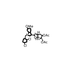 COc1ccc2c(C3=N[C@@H]4[CH][C@H](OC(C)=O)[C@@H](COC(C)=O)O[C@@H]4O3)cn(Cc3ccc(Cl)cc3Cl)c2c1